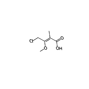 CO/C(CCl)=C(/C)C(=O)O